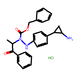 CC(C(=O)c1ccccc1)N(Nc1ccc(C2CC2N)cc1)C(=O)OCc1ccccc1.Cl